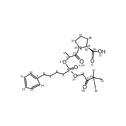 CC(OP(=O)(CCCCc1ccccc1)OCC(=O)C(C)(C)C)C(=O)N1CCC[C@H]1C(=O)O